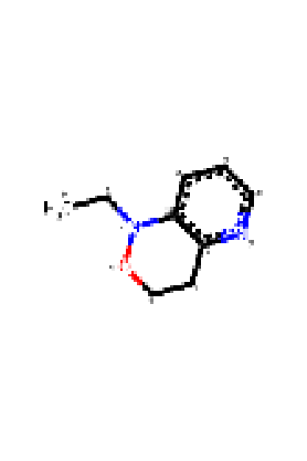 CCN1OCCc2ncccc21